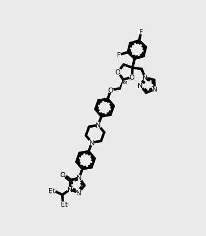 CCC(CC)n1ncn(-c2ccc(N3CCN(c4ccc(OC[C@H]5OCC(Cn6cncn6)(c6ccc(F)cc6F)O5)cc4)CC3)cc2)c1=O